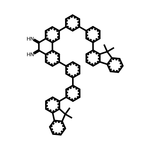 CC1(C)c2ccccc2-c2cccc(-c3cccc(-c4cccc(-c5ccc6c(c5)-c5cc(-c7cccc(-c8cccc(-c9cccc%10c9C(C)(C)c9ccccc9-%10)c8)c7)ccc5C(=N)C6=N)c4)c3)c21